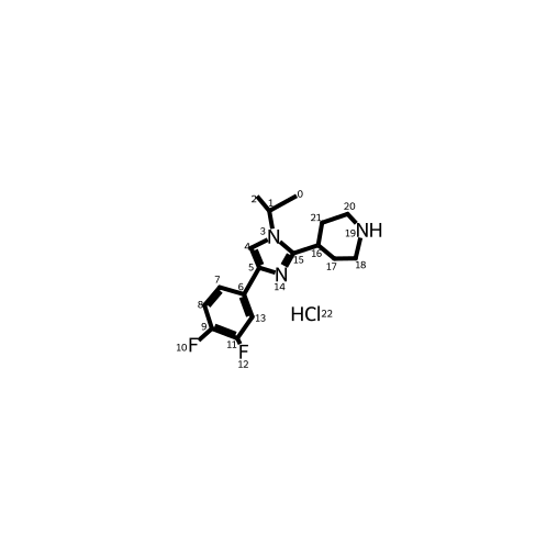 CC(C)n1cc(-c2ccc(F)c(F)c2)nc1C1CCNCC1.Cl